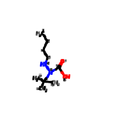 CCCCNN(C(=O)O)C(C)(C)C